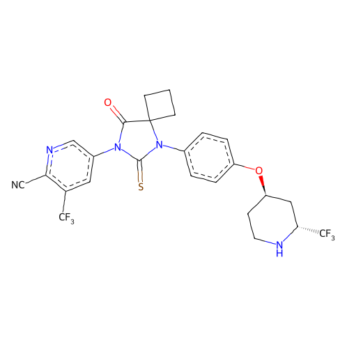 N#Cc1ncc(N2C(=O)C3(CCC3)N(c3ccc(O[C@@H]4CCN[C@@H](C(F)(F)F)C4)cc3)C2=S)cc1C(F)(F)F